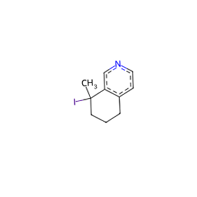 CC1(I)CCCc2ccncc21